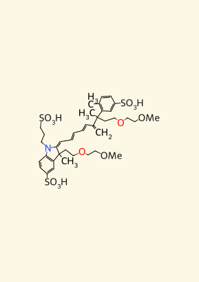 C=C(/C=C/C=C/C=C1/N(CCCS(=O)(=O)O)c2ccc(S(=O)(=O)O)cc2C1(C)CCOCCOC)C(C)(CCOCCOC)c1cc(S(=O)(=O)O)ccc1C